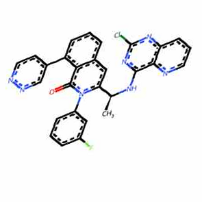 C[C@H](Nc1nc(Cl)nc2cccnc12)c1cc2cccc(-c3ccnnc3)c2c(=O)n1-c1cccc(F)c1